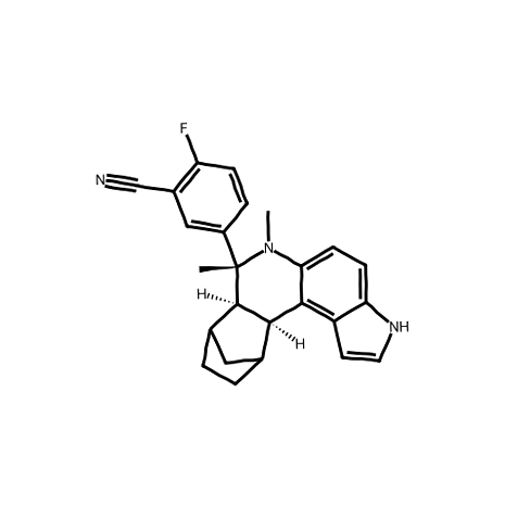 CN1c2ccc3[nH]ccc3c2[C@H]2C3CCC(C3)[C@H]2[C@]1(C)c1ccc(F)c(C#N)c1